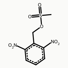 CS(=O)(=O)OCc1c([N+](=O)[O-])cccc1[N+](=O)[O-]